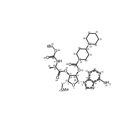 CSC[C@H]1O[C@@H](n2cnc3c(N)ncnc32)[C@H](OC(=O)N2CCC(N3CCCCC3)CC2)[C@@H]1OC(=O)[C@@H](C)NC(=O)OC(C)(C)C